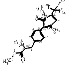 COC(=O)[C@@H](N)Cc1ccc(-c2c(C)cc(C(F)(F)F)n(C)c2=O)cc1